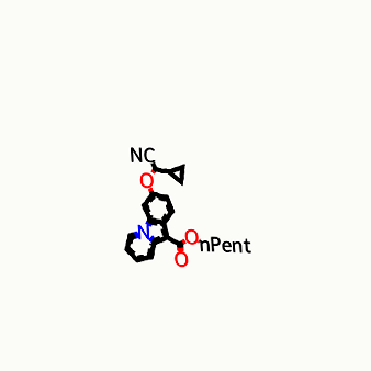 CCCCCOC(=O)c1c2ccc(OC(C#N)C3CC3)cc2n2ccccc12